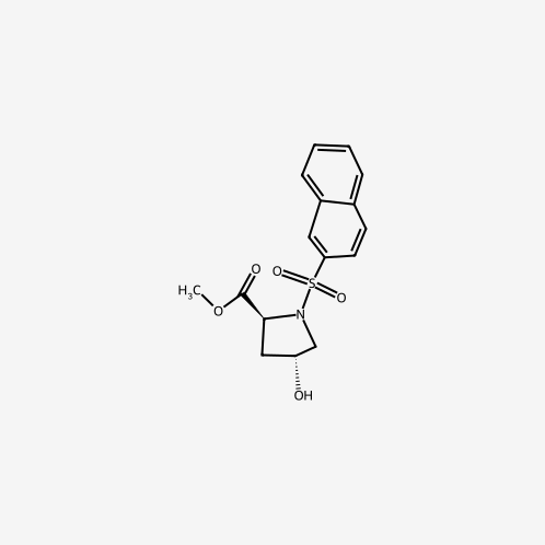 COC(=O)[C@@H]1C[C@@H](O)CN1S(=O)(=O)c1ccc2ccccc2c1